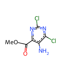 COC(=O)c1nc(Cl)nc(Cl)c1N